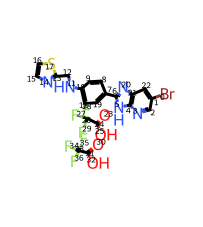 Brc1cnc2[nH]c(-c3ccc(NCc4nccs4)cc3)nc2c1.O=C(O)C(F)(F)F.O=C(O)C(F)(F)F